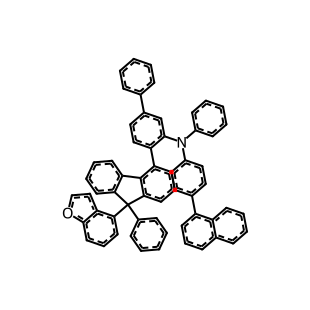 c1ccc(-c2ccc(-c3cccc4c3-c3ccccc3C4(c3ccccc3)c3cccc4occc34)c(N(c3ccccc3)c3ccc(-c4cccc5ccccc45)cc3)c2)cc1